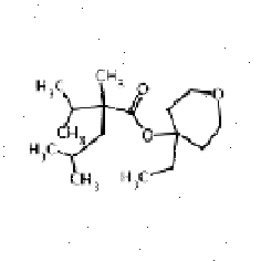 CCC1(OC(=O)C(C)(CC(C)C)C(C)C)CCOCC1